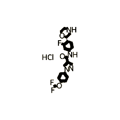 Cl.O=C(Nc1ccc([C@H]2CNCCO2)c(F)c1)c1cnn(-c2ccc(OC(F)F)cc2)c1